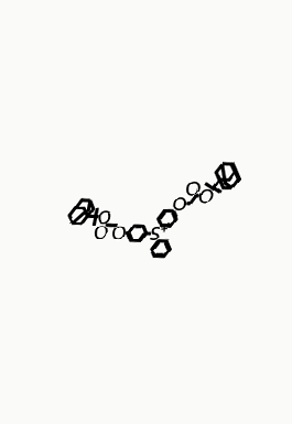 CC(C)(OC(=O)COc1ccc([S+](c2ccccc2)c2ccc(OCC(=O)OC(C)(C)C34CC5CC(CC(C5)C3)C4)cc2)cc1)C12CC3CC(CC(C3)C1)C2